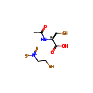 CC(=O)N[C@@H](CS)C(=O)O.S=[N+]([S-])CCS